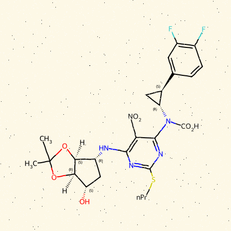 CCCSc1nc(N[C@@H]2C[C@H](O)[C@H]3OC(C)(C)O[C@H]32)c([N+](=O)[O-])c(N(C(=O)O)[C@@H]2C[C@H]2c2ccc(F)c(F)c2)n1